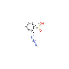 [N-]=[N+]=NCc1ccccc1S(=O)O